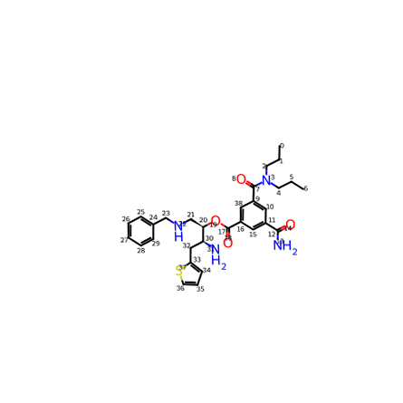 CCCN(CCC)C(=O)c1cc(C(N)=O)cc(C(=O)O[C@H](CNCc2ccccc2)[C@@H](N)Cc2cccs2)c1